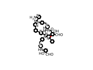 Nc1ncccc1-c1nc2ccc(-c3cccc(-c4ccc(-c5nc6ccc(-c7ccccc7)nc6n5-c5ccc(CN6CCC(Nc7cccc(C=O)c7O)CC6)cc5)c(N)n4)c3)nc2n1-c1ccc(CN2CCC(NC(=O)c3cccc(C=O)c3O)CC2)cc1